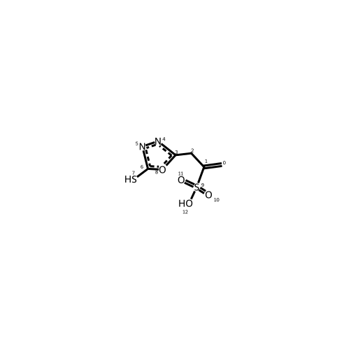 C=C(Cc1nnc(S)o1)S(=O)(=O)O